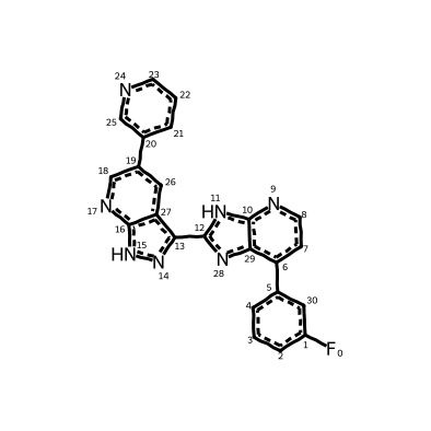 Fc1cccc(-c2ccnc3[nH]c(-c4n[nH]c5ncc(-c6cccnc6)cc45)nc23)c1